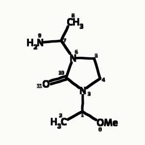 COC(C)N1CCN(C(C)N)C1=O